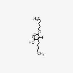 CCCCCOC(=O)C(I)=C(CCCCC)C(=O)O